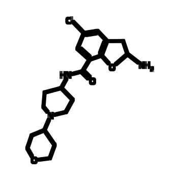 NC1Cc2cc(Cl)cc(C(=O)NC3CCN(C4CCOCC4)CC3)c2O1